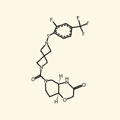 O=C1CO[C@H]2CCN(C(=O)N3CC4(CN(Sc5ccc(C(F)(F)F)cc5F)C4)C3)C[C@H]2N1